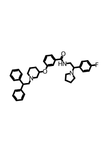 O=C(NCC(c1ccc(F)cc1)N1CCCC1)c1cccc(OC2CCCN(CC(c3ccccc3)c3ccccc3)C2)c1